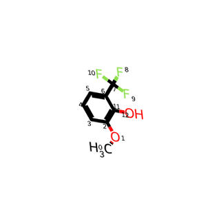 COc1cccc(C(F)(F)F)c1O